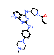 C=CC(=O)N1CC[C@@H](Nc2nc(Nc3ccc(N4CCN(C)CC4)cc3)nc3[nH]ccc23)C1